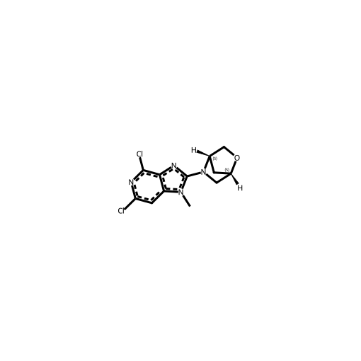 Cn1c(N2C[C@@H]3C[C@H]2CO3)nc2c(Cl)nc(Cl)cc21